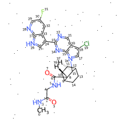 CNC(=O)CNC(=O)[C@H]1C2CCC(CC2)[C@@H]1n1cc(Cl)c2cnc(-c3c[nH]c4ncc(F)cc34)nc21